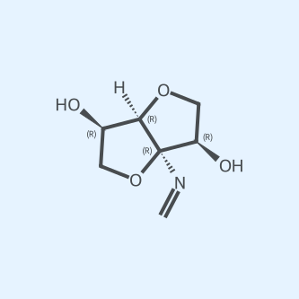 C=N[C@]12OC[C@@H](O)[C@H]1OC[C@H]2O